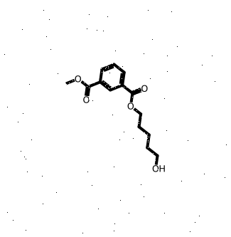 COC(=O)c1cccc(C(=O)OCCCCCO)c1